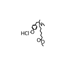 CCOC(=O)CCCCCCN(CC)C(C)Cc1ccc(OC)cc1.Cl